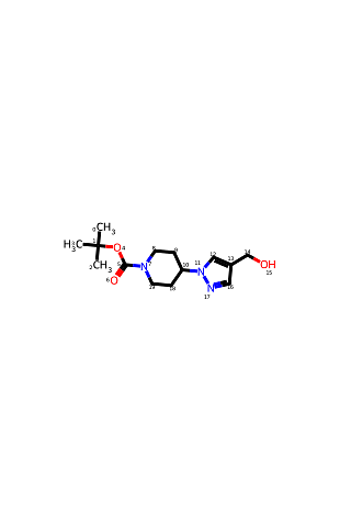 CC(C)(C)OC(=O)N1CCC(n2cc(CO)cn2)CC1